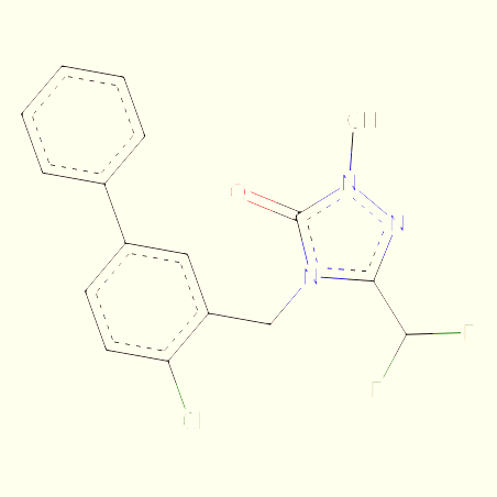 Cn1nc(C(F)F)n(Cc2cc(-c3ccccc3)ccc2Cl)c1=O